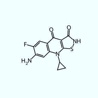 Nc1cc2c(cc1F)c(=O)c1c(=O)[nH]sc1n2C1CC1